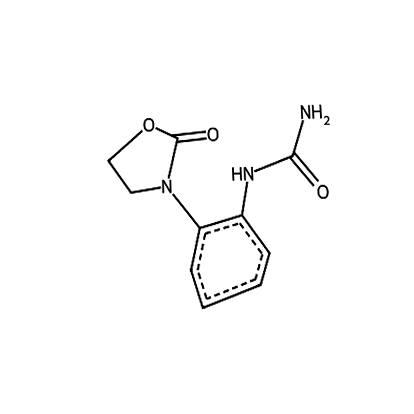 NC(=O)Nc1ccccc1N1CCOC1=O